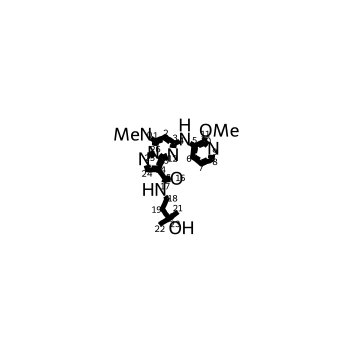 CNc1cc(Nc2cccnc2OC)nc2c(C(=O)NCCC(C)(C)O)cnn12